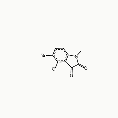 CN1C(=O)C(=O)c2c1ccc(Br)c2Cl